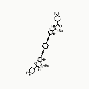 CC(C)(C)[C@H](NC(=O)C1CCC(F)(F)CC1)c1ncc(C#Cc2ccc(C#Cc3cnc([C@@H](NC(=O)C4CCC(F)(F)CC4)C(C)(C)C)[nH]3)cc2)[nH]1